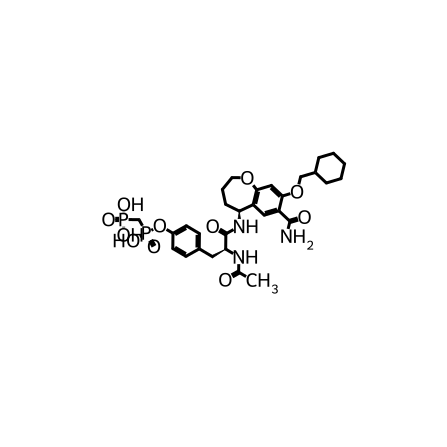 CC(=O)N[C@@H](Cc1ccc(OP(=O)(O)CP(=O)(O)O)cc1)C(=O)N[C@H]1CCCOc2cc(OCC3CCCCC3)c(C(N)=O)cc21